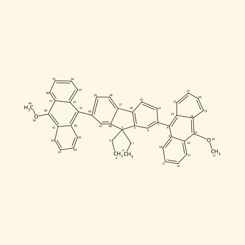 CCC1(CC)c2cc(-c3c4ccccc4c(OC)c4ccccc34)ccc2-c2ccc(-c3c4ccccc4c(OC)c4ccccc34)cc21